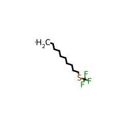 [CH2]CCCCCCCCCSC(F)(F)F